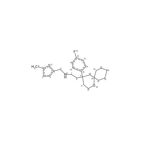 Cc1ccc(CNCCC2(c3ccc(F)cc3)CCOC3(CCCCC3)C2)s1